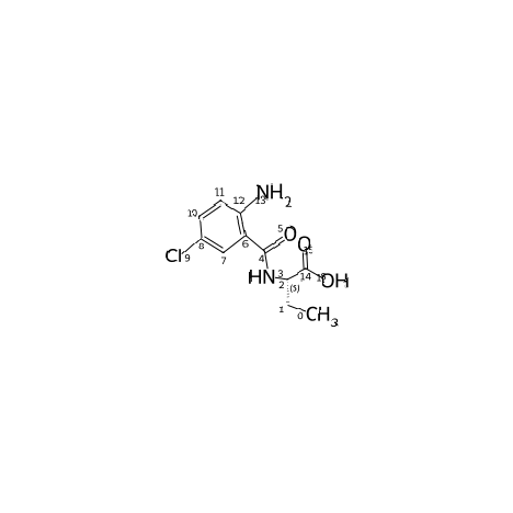 CC[C@H](NC(=O)c1cc(Cl)ccc1N)C(=O)O